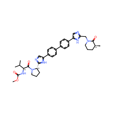 COC(=O)N[C@H](C(=O)N1CCC[C@H]1c1ncc(-c2ccc(-c3ccc(-c4cnc(CN5CCC[C@H](C)C5=O)[nH]4)cc3)cc2)[nH]1)C(C)C